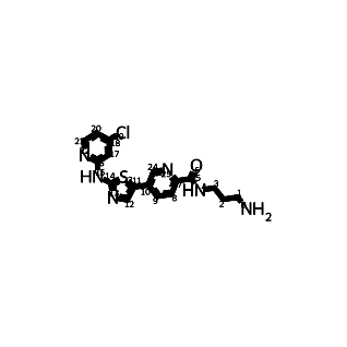 NCCCNC(=O)c1ccc(-c2cnc(Nc3cc(Cl)ccn3)s2)cn1